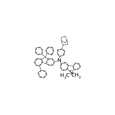 C[Si]1(C)c2ccccc2-c2cc(N(c3ccc(C4CC5CCC4C5)cc3)c3ccc4c(c3)C(c3ccccc3)(c3ccccc3)c3cccc(-c5ccccc5)c3-4)ccc21